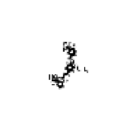 COc1cc(C=CC(=O)NC2(C(=O)O)CCCC2)ccc1OCc1ccc(F)c(C(F)(F)F)c1